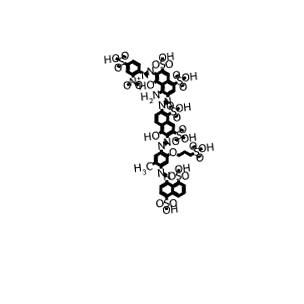 Cc1cc(N=Nc2c(S(=O)(=O)O)cc3c(S(=O)(=O)O)c(N=Nc4cc(S(=O)(=O)O)c5cc(S(=O)(=O)O)c(N=Nc6ccc(S(=O)(=O)O)cc6[N+](=O)[O-])c(O)c5c4N)ccc3c2O)c(OCCCS(=O)(=O)O)cc1N=Nc1ccc(S(=O)(=O)O)c2cccc(S(=O)(=O)O)c12